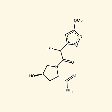 COc1cc(C(C(=O)N2C[C@H](O)C[C@H]2C(N)=O)C(C)C)on1